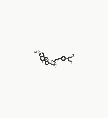 CC(=O)Oc1ccc2c(c1)CC[C@@H]1[C@@H]2CC[C@]2(C)C(C(OC(=O)CCCc3ccc(N(CCCl)CCCl)cc3)C(=O)O)CC[C@@H]12